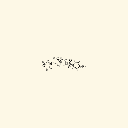 O=S(=O)(c1ccc(F)cc1)N1CCC2(CC1)CC(N1CCOCC1)CO2